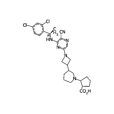 C[C@@H](Nc1nc(N2CC(C3CCCN(C4CCCC4C(=O)O)C3)C2)cnc1C#N)c1ccc(Cl)cc1Cl